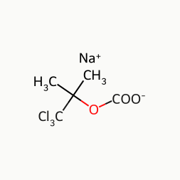 CC(C)(OC(=O)[O-])C(Cl)(Cl)Cl.[Na+]